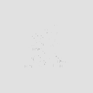 Nc1nc2c(nnn2[C@@H]2O[C@H](CO)[C@H](F)[C@H]2OP(=O)(S)OC[C@H]2O[C@@H](n3ccc4c(N)ncnc43)[C@@H](F)[C@@H]2O[PH](=O)S)c(=O)[nH]1